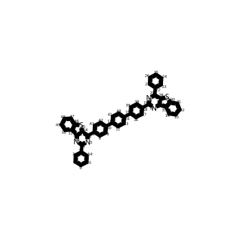 c1ccc(-c2nc(-c3ccc(-c4ccc(-c5ccc(-c6nc(-c7ccccc7)c7sc8ccccc8c7n6)cc5)cc4)cc3)c3sc4ccccc4c3n2)cc1